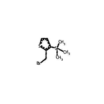 C[Si](C)(C)c1ccsc1CBr